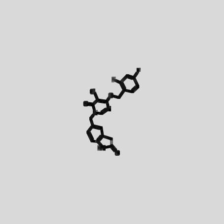 O=C1Cc2cc(Cn3cnc(OCc4ccc(F)cc4F)c(Cl)c3=O)ccc2N1